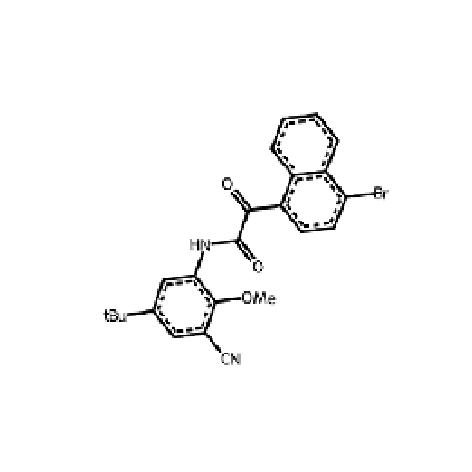 COc1c(C#N)cc(C(C)(C)C)cc1NC(=O)C(=O)c1ccc(Br)c2ccccc12